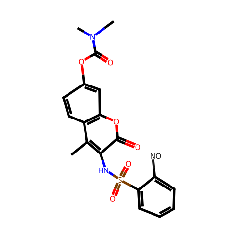 Cc1c(NS(=O)(=O)c2ccccc2N=O)c(=O)oc2cc(OC(=O)N(C)C)ccc12